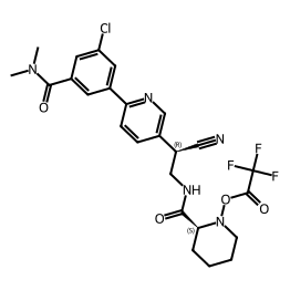 CN(C)C(=O)c1cc(Cl)cc(-c2ccc([C@@H](C#N)CNC(=O)[C@@H]3CCCCN3OC(=O)C(F)(F)F)cn2)c1